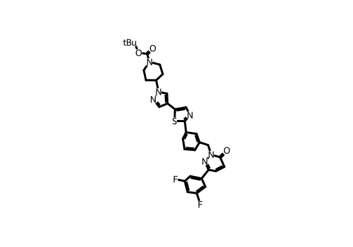 CC(C)(C)OC(=O)N1CCC(n2cc(-c3cnc(-c4cccc(Cn5nc(-c6cc(F)cc(F)c6)ccc5=O)c4)s3)cn2)CC1